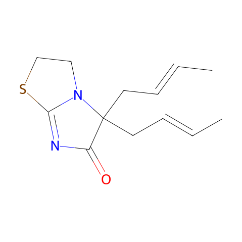 C/C=C/CC1(C/C=C/C)C(=O)N=C2SCCN21